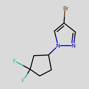 FC1(F)CCC(n2cc(Br)cn2)C1